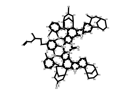 C=CCC(C)CCc1cc2c3c(c1)B(c1c(C)cccc1C)c1c4c5c(c6oc7c8c(ccc7c6c4n4c(=O)n6c7c(c9c(c%10c%11cc%12c(cc%11oc%107)C7CCCC(CC%12C)C7)C7CC(=C9)CC(C)C7)c(c6n-3c14)B2c1c(C)cccc1C)CC1CCCC8C1)C1CC(CC)CC(C5)C1